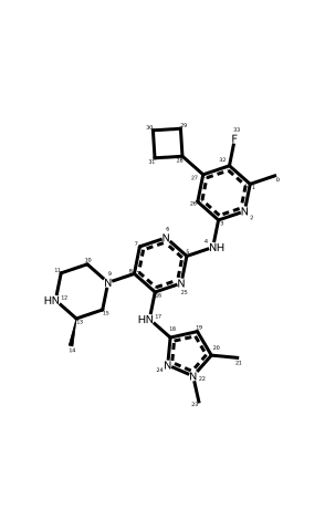 Cc1nc(Nc2ncc(N3CCN[C@H](C)C3)c(Nc3cc(C)n(C)n3)n2)cc(C2CCC2)c1F